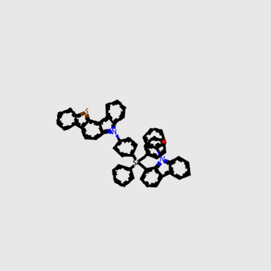 c1ccc(-n2c3ccccc3c3cccc([Si](c4ccccc4)(c4ccccc4)c4ccc(-n5c6ccccc6c6c7sc8ccccc8c7ccc65)cc4)c32)cc1